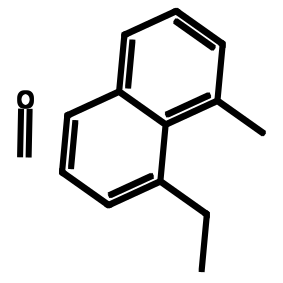 C=O.CCc1cccc2cccc(C)c12